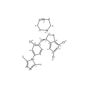 Cc1nnc(C)n1-c1ccc(O[C@@H]2c3cc(Cl)cc(Cl)c3C[C@H]2N2CCCNCC2)c(Cl)c1